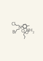 CCCC(=O)Oc1c(N(CCCl)CCBr)ccc(C)c1N